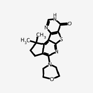 CC1(C)CCc2c(N3CCOCC3)nc3sc4c(=O)[nH]cnc4c3c21